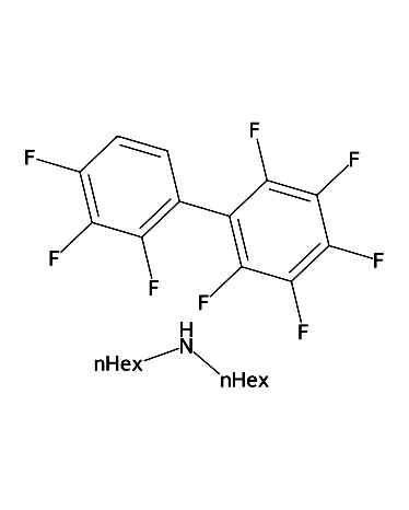 CCCCCCNCCCCCC.Fc1ccc(-c2c(F)c(F)c(F)c(F)c2F)c(F)c1F